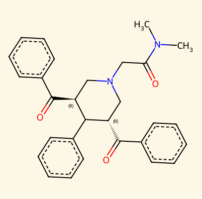 CN(C)C(=O)CN1C[C@H](C(=O)c2ccccc2)C(c2ccccc2)[C@@H](C(=O)c2ccccc2)C1